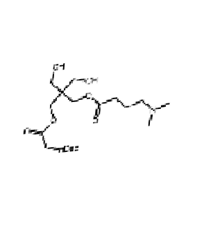 CCCCCCCCCCCC(=O)OCC(CO)(CO)COC(=O)CCCN(C)C